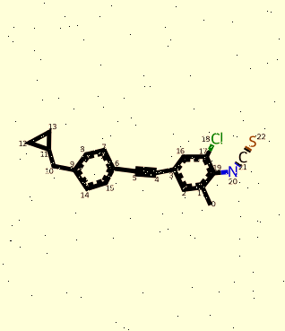 Cc1cc(C#Cc2ccc(CC3CC3)cc2)cc(Cl)c1N=C=S